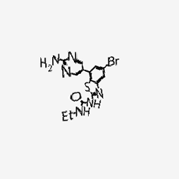 CCNC(=O)Nc1nc2cc(Br)cc(-c3cnc(N)nc3)c2s1